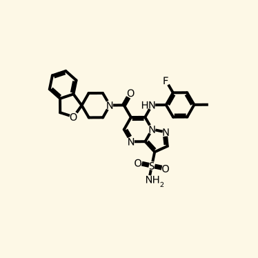 Cc1ccc(Nc2c(C(=O)N3CCC4(CC3)OCc3ccccc34)cnc3c(S(N)(=O)=O)cnn23)c(F)c1